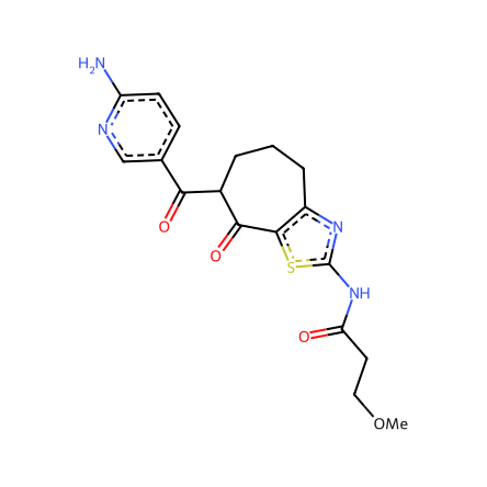 COCCC(=O)Nc1nc2c(s1)C(=O)C(C(=O)c1ccc(N)nc1)CCC2